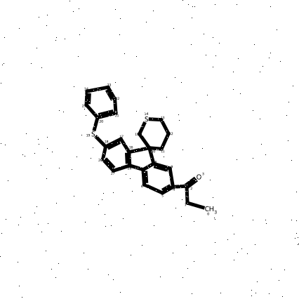 CCC(=O)c1ccc2c(c1)C1(CCCSC1)c1cc(Sc3ccccc3)ccc1-2